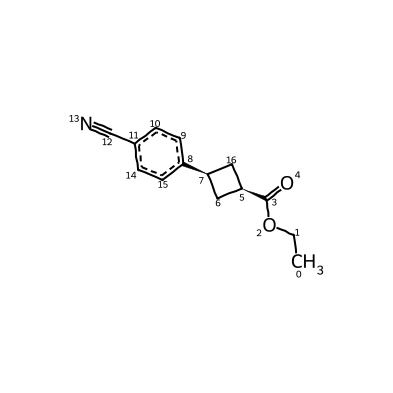 CCOC(=O)[C@H]1C[C@@H](c2ccc(C#N)cc2)C1